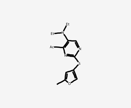 CCN(CC)c1cnc(Sc2coc(C)c2)nc1C(C)=O